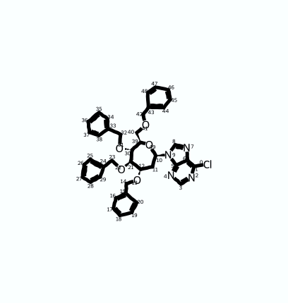 Clc1ncnc2c1ncn2[C@H]1C[C@H](OCc2ccccc2)[C@@H](OCc2ccccc2)[C@H](OCc2ccccc2)[C@@H](COCc2ccccc2)O1